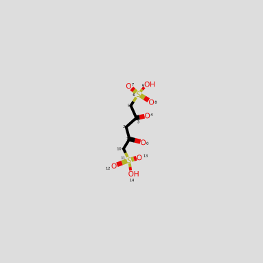 O=C(CC(=O)CS(=O)(=O)O)CS(=O)(=O)O